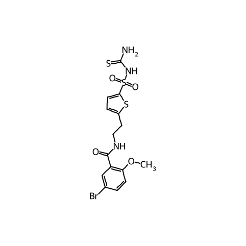 COc1ccc(Br)cc1C(=O)NCCc1ccc(S(=O)(=O)NC(N)=S)s1